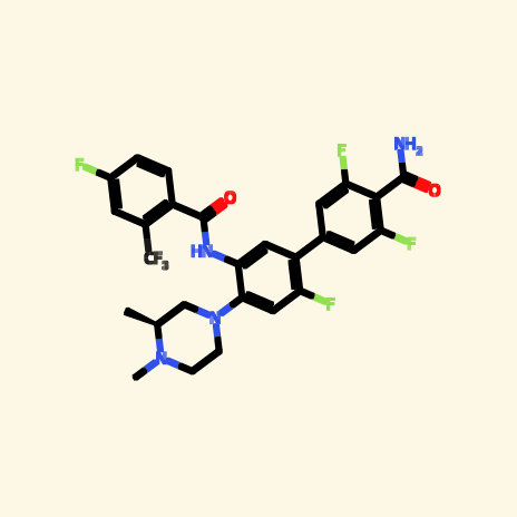 C[C@H]1CN(c2cc(F)c(-c3cc(F)c(C(N)=O)c(F)c3)cc2NC(=O)c2ccc(F)cc2C(F)(F)F)CCN1C